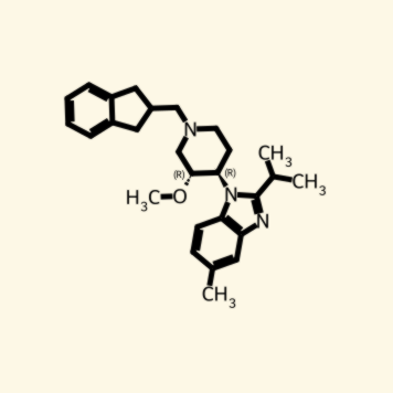 CO[C@@H]1CN(CC2Cc3ccccc3C2)CC[C@H]1n1c(C(C)C)nc2cc(C)ccc21